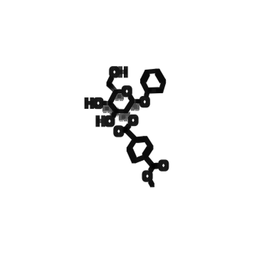 COC(=O)c1ccc(C(=O)O[C@H]2[C@H](Oc3ccccc3)O[C@H](CO)[C@H](O)[C@@H]2O)cc1